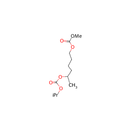 COC(=O)OCCCCC(C)OC(=O)OC(C)C